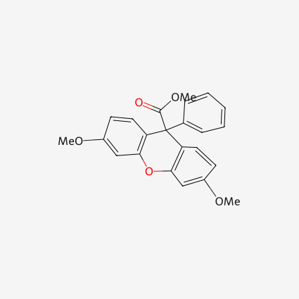 COC(=O)C1(c2ccccc2)c2ccc(OC)cc2Oc2cc(OC)ccc21